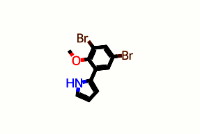 COc1c(Br)cc(Br)cc1-c1ccc[nH]1